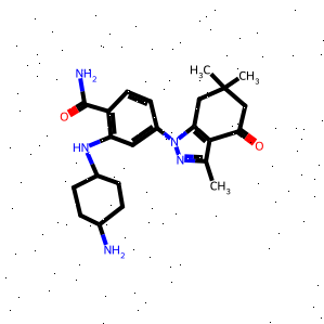 Cc1nn(-c2ccc(C(N)=O)c(NC3CCC(N)CC3)c2)c2c1C(=O)CC(C)(C)C2